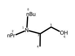 CCCCN(CCC)C(C)CO